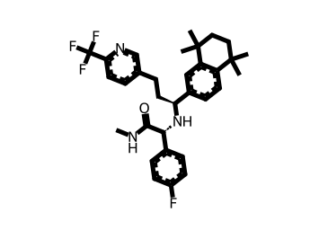 CNC(=O)[C@H](N[C@@H](CCc1ccc(C(F)(F)F)nc1)c1ccc2c(c1)C(C)(C)CCC2(C)C)c1ccc(F)cc1